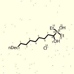 CCCCCCCCCCCCCCCCCC(O)[N+](O)(CC)CC.[Cl-]